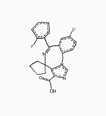 O=C(O)c1ncn2c1C1(CCCC1)N=C(c1ccccc1F)c1cc(Cl)ccc1-2